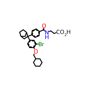 O=C(O)CCNC(=O)c1ccc(C2(c3ccc(OCC4CCCCC4)c(Br)c3)CC3CCC2C3)cc1